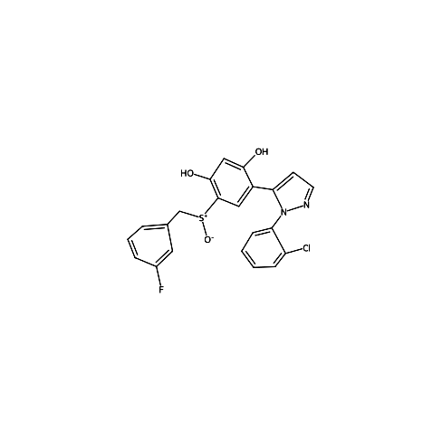 [O-][S+](Cc1cccc(F)c1)c1cc(-c2ccnn2-c2ccccc2Cl)c(O)cc1O